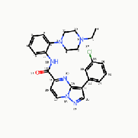 CCN1CCN(c2ccccc2NC(=O)c2ccn3ncc(-c4cccc(Cl)c4)c3n2)CC1